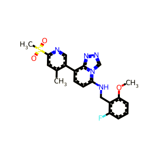 COc1cccc(F)c1CNc1ccc(-c2cnc(S(C)(=O)=O)cc2C)c2nncn12